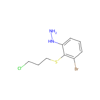 NNc1cccc(Br)c1SCCCCl